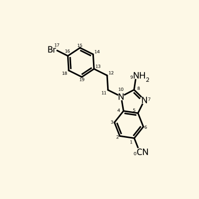 N#Cc1ccc2c(c1)nc(N)n2CCc1ccc(Br)cc1